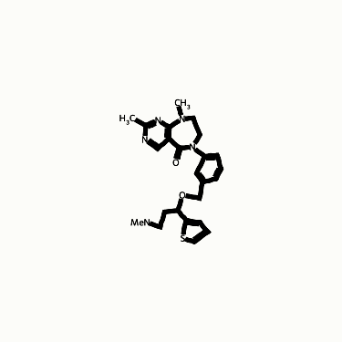 CNCCC(OCc1cccc(N2CCN(C)c3nc(C)ncc3C2=O)c1)c1cccs1